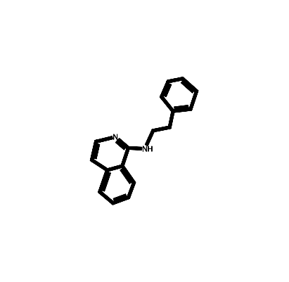 c1ccc(CCNc2nccc3ccccc23)cc1